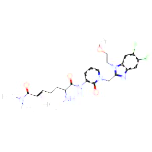 CC(C)OCCn1c(Cn2cccc(NC(=O)C(CC/C=C/C(=O)N(C)C)NC(=O)O)c2=O)nc2cc(F)c(F)cc21